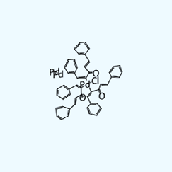 O=C(C=Cc1ccccc1)[C](=Cc1ccccc1)[Pd]([Cl])([C](=Cc1ccccc1)C(=O)C=Cc1ccccc1)[C](=Cc1ccccc1)C(=O)C=Cc1ccccc1.[Pd].[Pd]